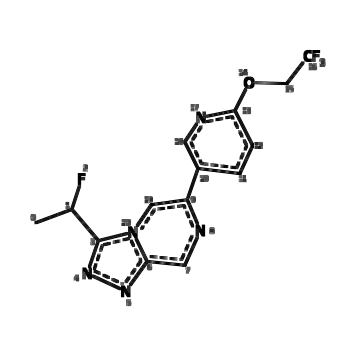 CC(F)c1nnc2cnc(-c3ccc(OCC(F)(F)F)nc3)cn12